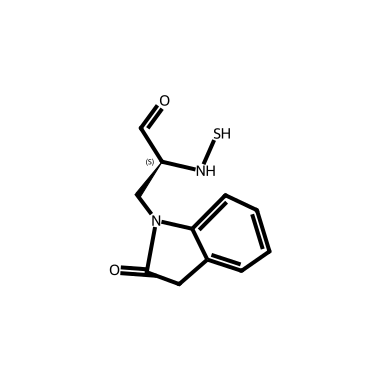 O=C[C@H](CN1C(=O)Cc2ccccc21)NS